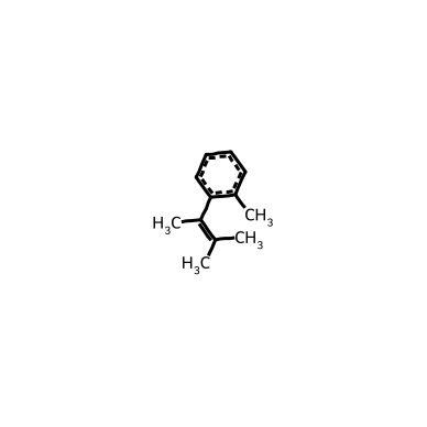 CC(C)=C(C)c1ccccc1C